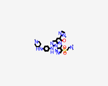 CN(C)CCS(=O)(=O)c1cnncc1Cn1c(=O)c(-c2nccn2C)cc2cnc(Nc3ccc(NC4CCN(C)CC4)cc3)nc21